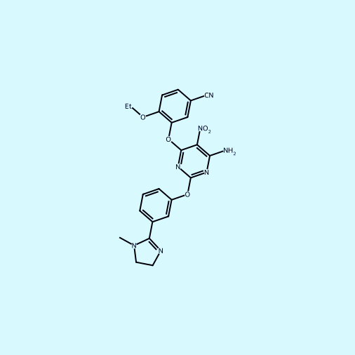 CCOc1ccc(C#N)cc1Oc1nc(Oc2cccc(C3=NCCN3C)c2)nc(N)c1[N+](=O)[O-]